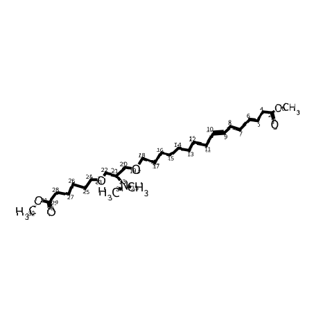 COC(=O)CCCCC/C=C/CCCCCCCCOCC(COCCCCCC(=O)OC)N(C)C